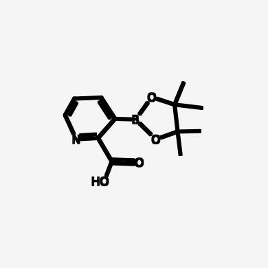 CC1(C)OB(c2cccnc2C(=O)O)OC1(C)C